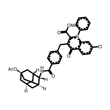 COC(=O)c1c(Cc2ccc(C(=O)N[C@H]3[C@@H]4C[C@H]5C[C@H]3C[C@](OC(C)=O)(C5)C4)cc2)c(=O)c2ccc(Cl)cc2n1-c1ccccc1